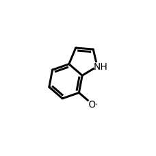 [O]c1cccc2cc[nH]c12